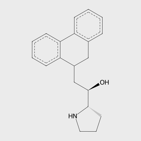 O[C@H](CC1Cc2ccccc2-c2ccccc21)[C@@H]1CCCN1